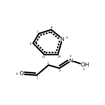 O=CCC=NO.c1ccncc1